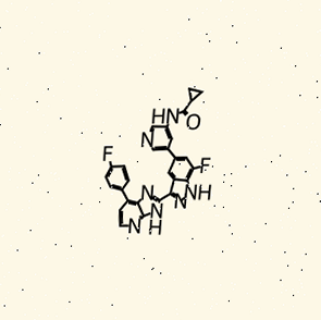 O=C(Nc1cncc(-c2cc(F)c3[nH]nc(-c4nc5c(-c6ccc(F)cc6)ccnc5[nH]4)c3c2)c1)C1CC1